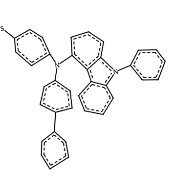 Sc1ccc(N(c2ccc(-c3ccccc3)cc2)c2cccc3c2c2ccccc2n3-c2ccccc2)cc1